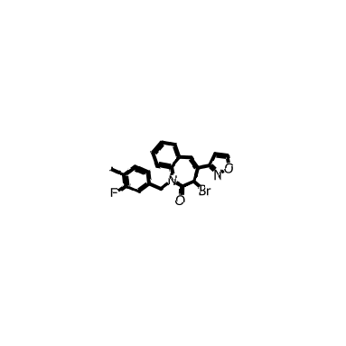 Cc1ccc(CN2C(=O)C(Br)C(c3ccon3)=Cc3ccccc32)cc1F